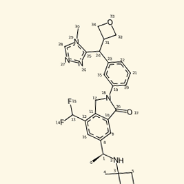 C[C@H](NC1(C)CCC1)c1cc2c(c(C(F)F)c1)CN(c1cccc(C(c3nncn3C)C3COC3)c1)C2=O